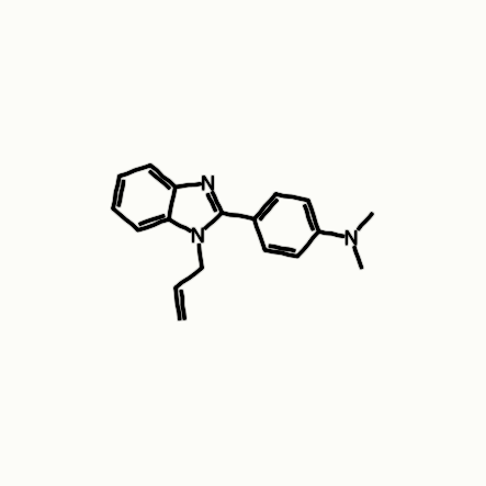 C=CCn1c(-c2ccc(N(C)C)cc2)nc2ccccc21